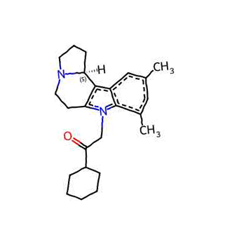 Cc1cc(C)c2c(c1)c1c(n2CC(=O)C2CCCCC2)CCN2CCC[C@@H]12